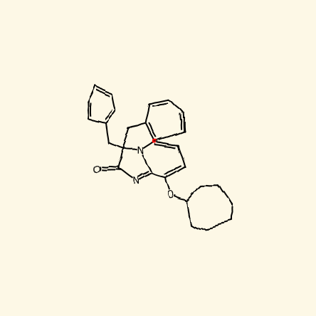 O=C1N=C2C(OC3CCCCCC3)=CC=CN2C1(Cc1ccccc1)Cc1ccccc1